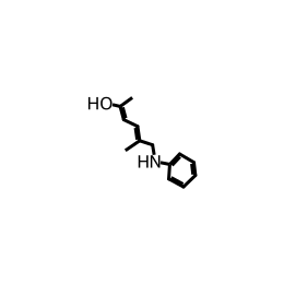 C/C(O)=C\C=C(/C)CNc1ccccc1